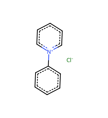 [Cl-].c1ccc(-[n+]2ccccc2)cc1